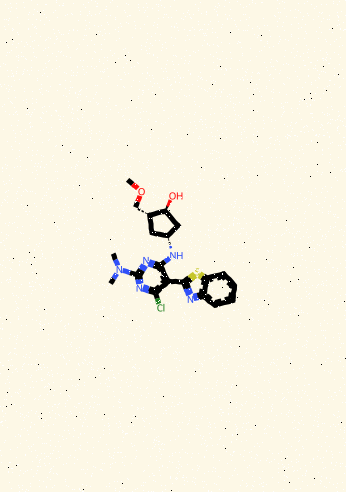 COC[C@H]1C[C@@H](Nc2nc(N(C)C)nc(Cl)c2-c2nc3ccccc3s2)C[C@@H]1O